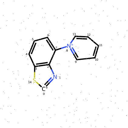 [C+]1=Nc2c(cccc2-[n+]2ccccc2)S1